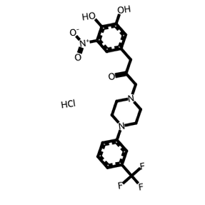 Cl.O=C(Cc1cc(O)c(O)c([N+](=O)[O-])c1)CN1CCN(c2cccc(C(F)(F)F)c2)CC1